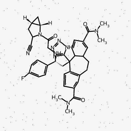 CN(C)C(=O)C1=CC2CCc3cc(C(=O)N(C)C)ccc3C(C[C@@H](NCC(=O)N3C(C#N)C[C@@H]4C[C@@H]43)c3ccc(F)cc3)(c3nnn[nH]3)C2C=C1